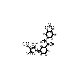 CCOC(=O)c1c(C)c(C)nn1-c1cccc(C(=O)N(C)c2ccc3c(c2)OCO3)c1